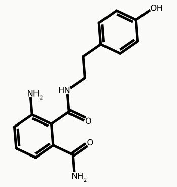 NC(=O)c1cccc(N)c1C(=O)NCCc1ccc(O)cc1